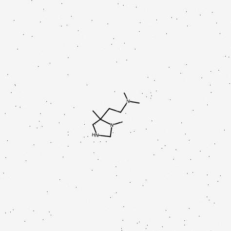 CN(C)CCC1(C)CNCN1C